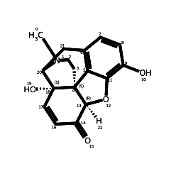 CN1CC[C@]23c4c5ccc(O)c4O[C@H]2C(=O)C=C[C@@]3(O)C1C5